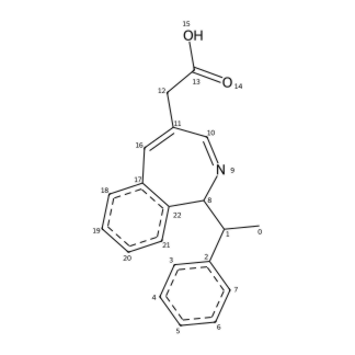 CC(c1ccccc1)C1N=CC(CC(=O)O)=Cc2ccccc21